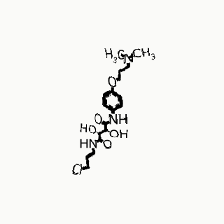 CN(C)CCCOc1ccc(NC(=O)[C@H](O)[C@@H](O)C(=O)NCCCCl)cc1